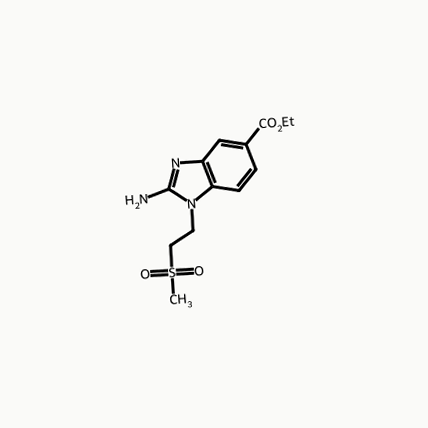 CCOC(=O)c1ccc2c(c1)nc(N)n2CCS(C)(=O)=O